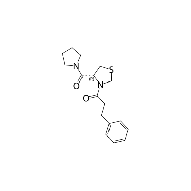 O=C([C@@H]1CSCN1C(=O)CCc1ccccc1)N1CCCC1